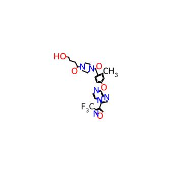 Cc1cc(Oc2nccn3c(-c4conc4C(F)(F)F)cnc23)ccc1C(=O)N1CCN(C(=O)CCCO)CC1